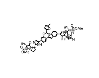 COC(=O)N[C@H](C(=O)N1CCC[C@H]1c1ncc(-c2ccc3c(c2)OC(c2ccc(C)o2)n2c-3cc3cc(-c4cnc([C@@H]5C6C7[C@H]6[C@@H]7N5C(=O)[C@@H](NC(=O)OC)C(C)C)[nH]4)ccc32)[nH]1)C(C)C